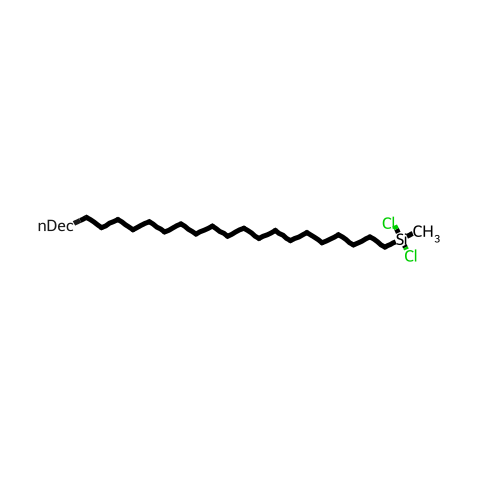 CCCCCCCCCCCCCCCCCCCCCCCCCCCCCC[Si](C)(Cl)Cl